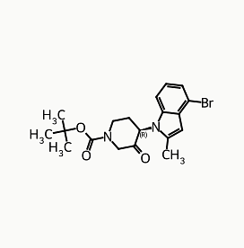 Cc1cc2c(Br)cccc2n1[C@@H]1CCN(C(=O)OC(C)(C)C)CC1=O